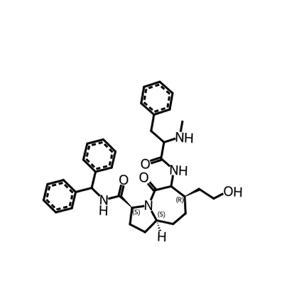 CNC(Cc1ccccc1)C(=O)NC1C(=O)N2[C@@H](CC[C@@H]1CCO)CC[C@H]2C(=O)NC(c1ccccc1)c1ccccc1